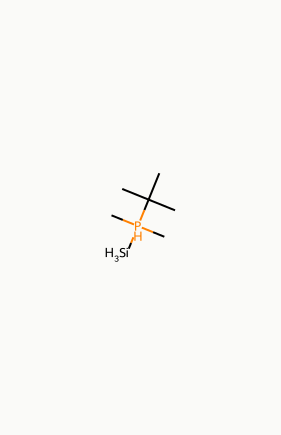 CC(C)(C)[PH](C)(C)[SiH3]